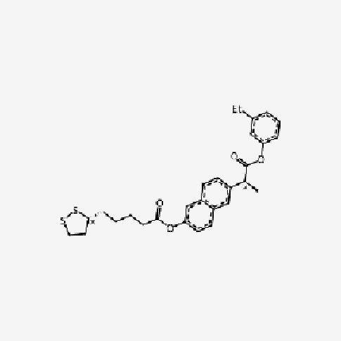 CCc1cccc(OC(=O)[C@@H](C)c2ccc3cc(OC(=O)CCCC[C@@H]4CCSS4)ccc3c2)c1